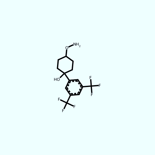 NOC1CCC(O)(c2cc(C(F)(F)F)cc(C(F)(F)F)c2)CC1